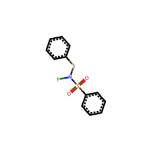 O=S(=O)(c1ccccc1)N(F)Sc1ccccc1